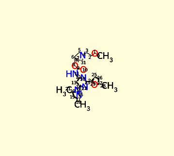 COCCN1CC[C@@H](OC(=O)Nc2cc(-n3nc(C)cc3C)nc(-c3ccc(C)o3)n2)C1